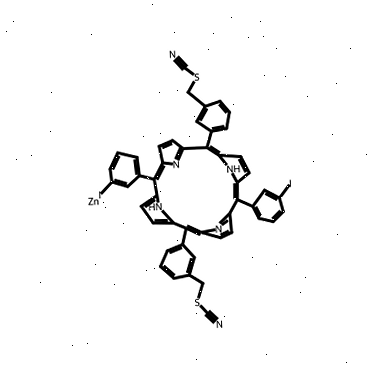 N#CSCc1cccc(-c2c3nc(c(-c4cccc(I)c4)c4ccc([nH]4)c(-c4cccc(CSC#N)c4)c4nc(c(-c5cccc(I)c5)c5ccc2[nH]5)C=C4)C=C3)c1.[Zn]